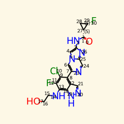 O=C(Nc1cn2cc(-c3c(Cl)c(F)c(NCCO)c4[nH]ncc34)ncc2n1)[C@@H]1C[C@@H]1F